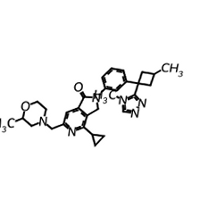 CC1CC(c2cccc(N3Cc4c(cc(CN5CCOC(C)C5)nc4C4CC4)C3=O)c2)(c2nncn2C)C1